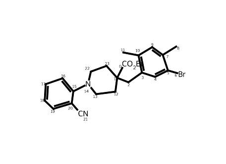 CCOC(=O)C1(Cc2cc(Br)c(C)cc2C)CCN(c2ccccc2C#N)CC1